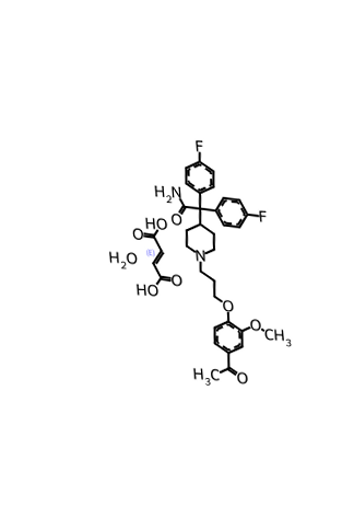 COc1cc(C(C)=O)ccc1OCCCN1CCC(C(C(N)=O)(c2ccc(F)cc2)c2ccc(F)cc2)CC1.O.O=C(O)/C=C/C(=O)O